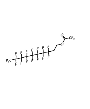 O=C(OCCC(F)(F)C(F)(F)C(F)(F)C(F)(F)C(F)(F)C(F)(F)C(F)(F)C(F)(F)F)C(F)(F)F